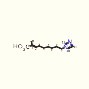 CC(=CCCCCCCn1ccnc1)C(=O)O